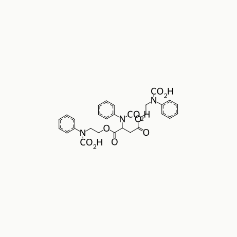 O=C(CC(C(=O)OCCN(C(=O)O)c1ccccc1)N(C(=O)O)c1ccccc1)OCCN(C(=O)O)c1ccccc1